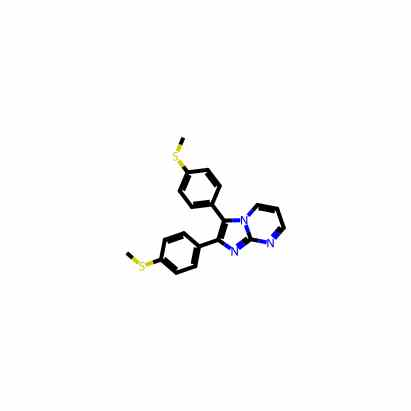 CSc1ccc(-c2nc3ncccn3c2-c2ccc(SC)cc2)cc1